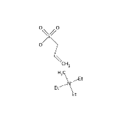 C=CCS(=O)(=O)[O-].CC[N+](C)(CC)CC